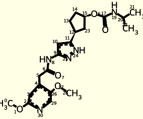 COc1cc(CC(=O)Nc2cc([C@H]3CC[C@@H](OC(=O)NC(C)C)C3)[nH]n2)c(OC)cn1